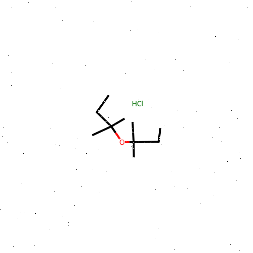 CCC(C)(C)OC(C)(C)CC.Cl